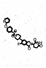 O=C1CCC(N2Cc3cc(C4CCN(S(=O)(=O)c5ccc(Oc6ccccn6)cc5)CC4)c(F)cc3C2=O)C(=O)N1